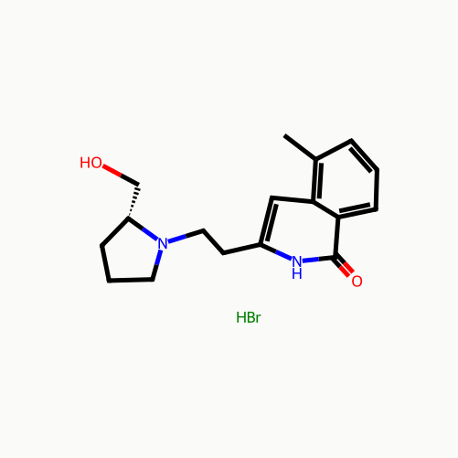 Br.Cc1cccc2c(=O)[nH]c(CCN3CCC[C@@H]3CO)cc12